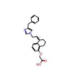 O=C(O)COc1cccc2c1CCC/C2=C/Cn1cnc(Cc2ccccc2)c1